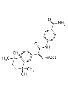 CCCCCCCCC=C(C(=O)Nc1ccc(C(N)=O)cc1)c1ccc2c(c1)C(C)(C)CCC2(C)C